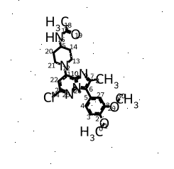 COc1ccc(-c2c(C)nc3c(N4CCC(NC(C)=O)CC4)cc(Cl)nn23)cc1OC